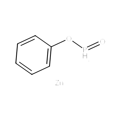 O=[PH2]Oc1ccccc1.[Zn]